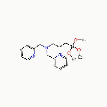 CCO[Si](CCCN(Cc1ccccn1)Cc1ccccn1)(OCC)OCC